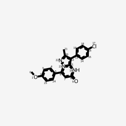 COc1ccc(-c2cc(=O)[nH]c3c(-c4ccc(Cl)cc4)c(C)nn23)cc1